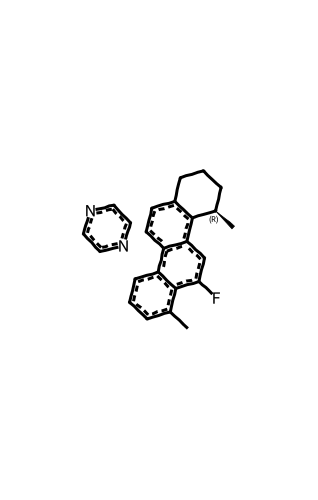 Cc1cccc2c1c(F)cc1c3c(ccc12)CCC[C@H]3C.c1cnccn1